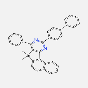 C[Si]1(C)c2ccc3ccccc3c2-c2nc(-c3ccc(-c4ccccc4)cc3)nc(-c3ccccc3)c21